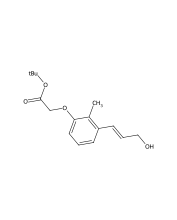 Cc1c(C=CCO)cccc1OCC(=O)OC(C)(C)C